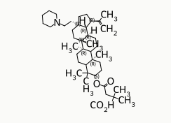 C=C(C)[C@@H]1CC[C@]2(CCN3CCCCC3)CC[C@]3(C)[C@H](CCC4[C@@]5(C)CC[C@H](OC(=O)CC(C)(C)C(=O)O)C(C)(C)C5CC[C@]43C)[C@@H]12